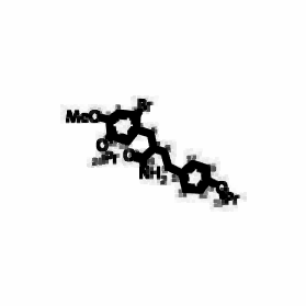 COc1cc(Br)c(CC(CCc2ccc(OC(C)C)cc2)C(N)=O)cc1OC(C)C